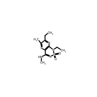 CCc1nc2c(nc1C)C(NC)=NS(=O)(=O)N2CC